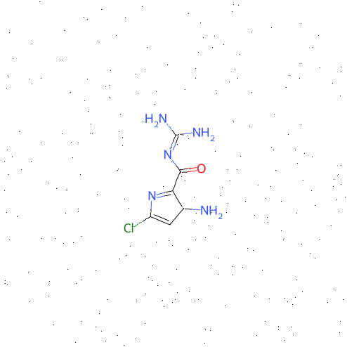 NC(N)=NC(=O)C1=NC(Cl)=CC1N